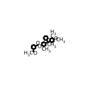 COc1ccc(C(C)(c2ccccc2)c2ccc(OC(=O)c3cccc(C(C)=O)c3)c(C)c2)cc1C